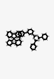 c1ccc(-c2nc(-c3ccccc3)nc(-c3cccc(-c4cccc(-c5cccc6c5C5(c7ccccc7-c7ccccc75)c5ccccc5-6)c4)c3)n2)cc1